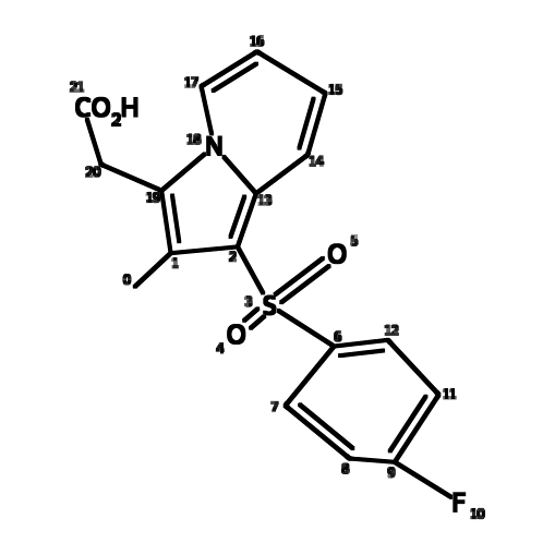 Cc1c(S(=O)(=O)c2ccc(F)cc2)c2ccccn2c1CC(=O)O